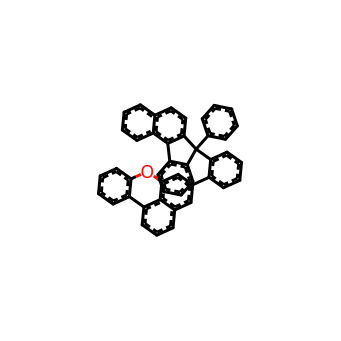 c1ccc(C2(c3ccccc3-c3cc4c5c(cccc5c3)-c3ccccc3O4)c3ccccc3-c3c2ccc2ccccc32)cc1